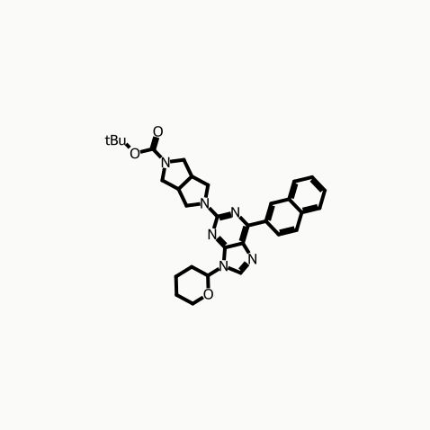 CC(C)(C)OC(=O)N1CC2CN(c3nc(-c4ccc5ccccc5c4)c4ncn(C5CCCCO5)c4n3)CC2C1